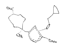 COc1ccc([C@]2(C#N)CC[C@@H](C=O)CC2)cc1OCC1CC1